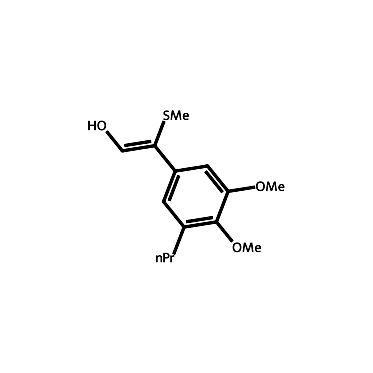 CCCc1cc(/C(=C/O)SC)cc(OC)c1OC